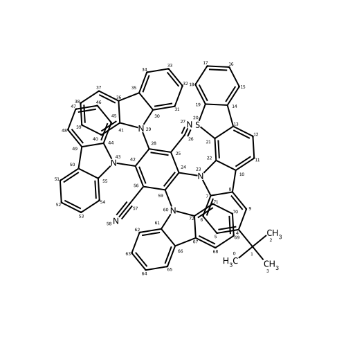 CC(C)(C)c1ccc2c(c1)c1ccc3c4ccccc4sc3c1n2-c1c(C#N)c(-n2c3ccccc3c3ccccc32)c(-n2c3ccccc3c3ccccc32)c(C#N)c1-n1c2ccccc2c2ccccc21